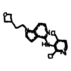 Clc1ccnc(Cl)c1Nc1nccc2c1ccn2CCC1COC1